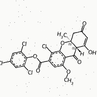 COc1cc(C(=O)Oc2c(Cl)cc(Cl)cc2Cl)c(Cl)c2c1C(=O)[C@H]1C(O)=CC(=O)C[C@]1(C)O2